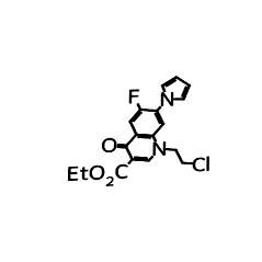 CCOC(=O)c1cn(CCCl)c2cc(-n3cccc3)c(F)cc2c1=O